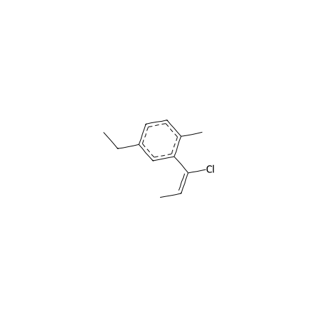 C/C=C(/Cl)c1cc(CC)ccc1C